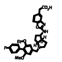 CCOc1cc(CN2CC[C@H]3C(Nc4nc5cc(CC(=O)O)ccc5o4)CC[C@H]32)cc(OC)c1-c1ccc(F)cc1